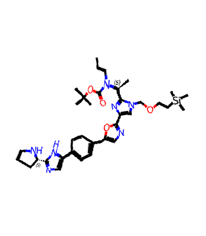 CCCN(C(=O)OC(C)(C)C)[C@@H](C)c1nc(-c2ncc(-c3ccc(-c4cnc([C@@H]5CCCN5)[nH]4)cc3)o2)cn1COCC[Si](C)(C)C